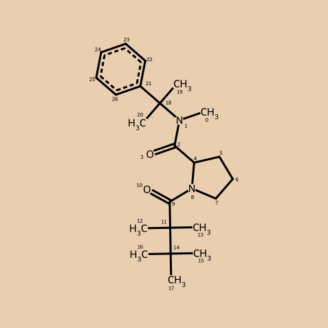 CN(C(=O)C1CCCN1C(=O)C(C)(C)C(C)(C)C)C(C)(C)c1ccccc1